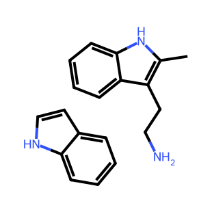 Cc1[nH]c2ccccc2c1CCN.c1ccc2[nH]ccc2c1